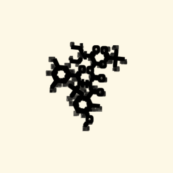 CCN(CC)C(=O)C(OC(=O)N(C(=O)c1cccc(OC)c1C)N(C(=O)c1cc(C)cc(C)c1)C(C)(C)C)OC(=O)C(C)(C)C